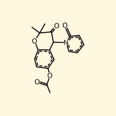 CC(=O)Oc1ccc2c(c1)C(n1ccccc1=O)C(=O)C(C)(C)O2